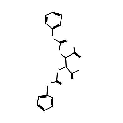 O=C(Oc1ccccc1)OC(C(=O)O)C(OC(=O)Oc1ccccc1)C(=O)O